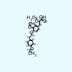 CCO/C(=C\c1ccc(OCCc2ccc(OCC)cc2)c(OC)c1)C(=O)O